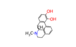 CN1CCc2cccc3c2[C@]1(C)Cc1ccc(O)c(O)c1-3